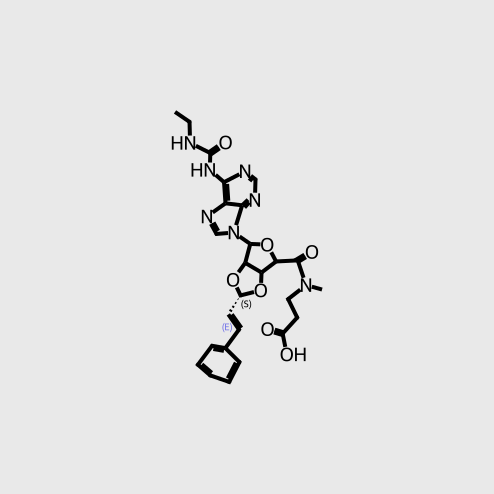 CCNC(=O)Nc1ncnc2c1ncn2C1OC(C(=O)N(C)CCC(=O)O)C2O[C@H](/C=C/c3ccccc3)OC21